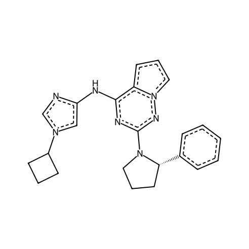 c1ccc([C@@H]2CCCN2c2nc(Nc3cn(C4CCC4)cn3)c3cccn3n2)cc1